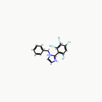 Fc1cc(F)c(-c2nccn2Cc2ccccc2)c(F)c1F